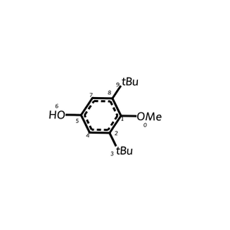 COc1c(C(C)(C)C)cc(O)cc1C(C)(C)C